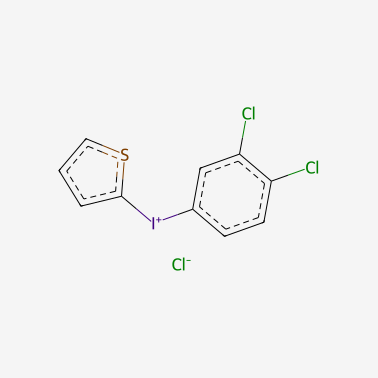 Clc1ccc([I+]c2cccs2)cc1Cl.[Cl-]